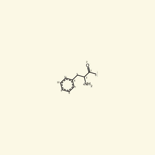 [C]C(=O)C(N)Cc1ccccc1